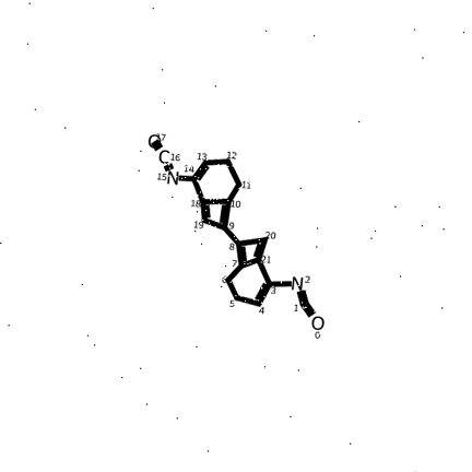 O=C=NC1=CCCC2=C(C3=C4CCC=C(N=C=O)C4=C3)C=C12